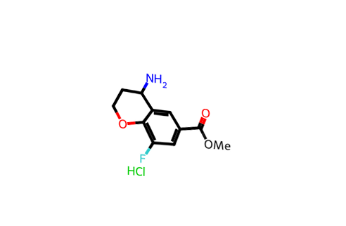 COC(=O)c1cc(F)c2c(c1)C(N)CCO2.Cl